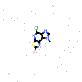 Bc1nc2c(nc(Cl)c3ncn(C)c32)s1